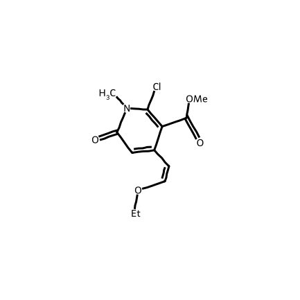 CCO/C=C\c1cc(=O)n(C)c(Cl)c1C(=O)OC